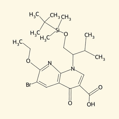 CCOc1nc2c(cc1Br)c(=O)c(C(=O)O)cn2C(CO[Si](C)(C)C(C)(C)C)C(C)C